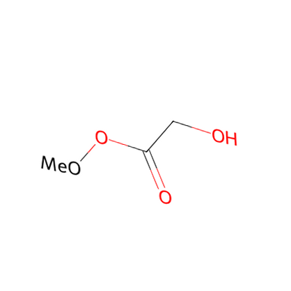 COOC(=O)CO